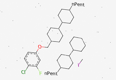 CCCCCC1CCC(C2CCC(COc3ccc(Cl)c(F)c3)CC2)CC1.CCCCCC1CCC(C2CCCCC2)CC1.CI